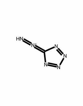 N=[N+]=C1N=NN=N1